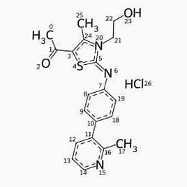 CC(=O)c1s/c(=N\c2ccc(-c3cccnc3C)cc2)n(CCO)c1C.Cl